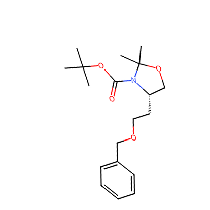 CC(C)(C)OC(=O)N1[C@@H](CCOCc2ccccc2)COC1(C)C